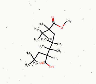 COC(=O)C(C)(CC(C)(C)C(C)(C)C(C)(CC(C)(C)C)C(=O)O)C(C)(C)C